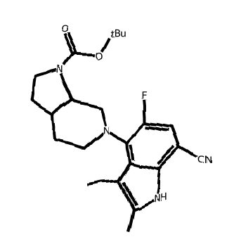 Cc1[nH]c2c(C#N)cc(F)c(N3CCC4CCN(C(=O)OC(C)(C)C)C4C3)c2c1C